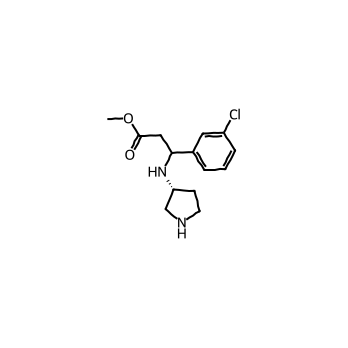 COC(=O)CC(N[C@@H]1CCNC1)c1cccc(Cl)c1